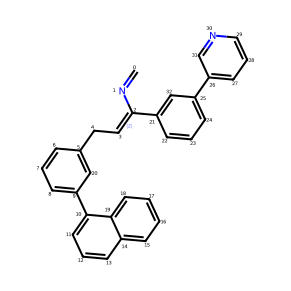 C=N/C(=C\Cc1cccc(-c2cccc3ccccc23)c1)c1cccc(-c2cccnc2)c1